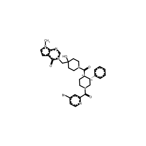 Cn1ccc2c(=O)n(CC3(O)CCN(C(=O)[C@@H]4CCN(C(=O)c5cc(Br)ccn5)C[C@H]4c4ccccc4)CC3)cnc21